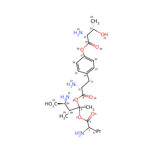 CC(C)C(N)C(=O)OC(C)(OC(=O)[C@H](N)Cc1ccc(OC(=O)[C@H](N)[C@H](C)O)cc1)[C@H](C)[C@H](N)C(=O)O